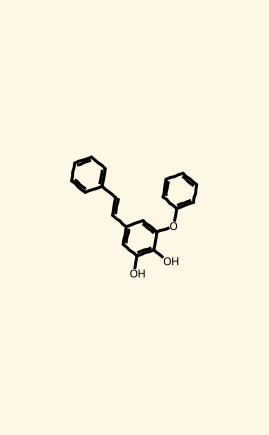 Oc1cc(C=Cc2ccccc2)cc(Oc2ccccc2)c1O